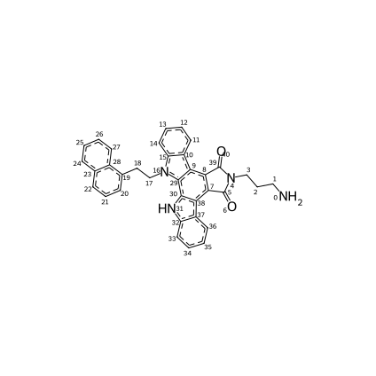 NCCCN1C(=O)c2c(c3c4ccccc4n(CCc4cccc5ccccc45)c3c3[nH]c4ccccc4c23)C1=O